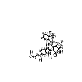 CNCCNc1ccc2nc(-c3c(N[C@@H](C)c4ncccc4C(F)(F)F)c4nn(C)cc4[nH]c3=O)[nH]c2c1